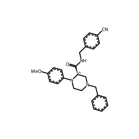 COc1ccc(N2CCN(Cc3ccccc3)C[C@@H]2C(=O)NCc2ccc(C#N)cc2)cc1